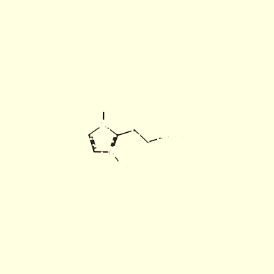 CCCCCCCCCCc1n(C(C)C)cc[n+]1CCCC